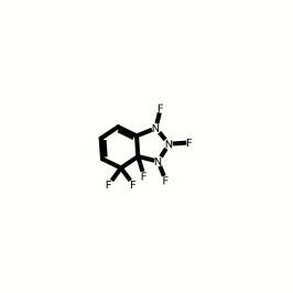 FN1C2=CC=CC(F)(F)C2(F)N(F)N1F